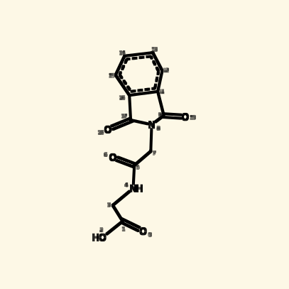 O=C(O)CNC(=O)CN1C(=O)c2ccccc2C1=O